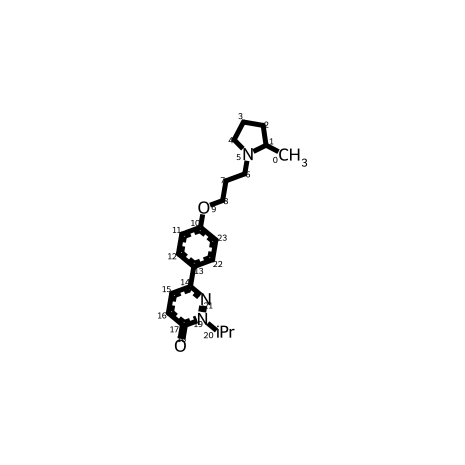 CC1CCCN1CCCOc1ccc(-c2ccc(=O)n(C(C)C)n2)cc1